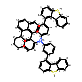 c1cc(-c2cccc3sc4ccccc4c23)cc(N(c2ccc(-c3cccc4sc5ccccc5c34)cc2)c2ccccc2-c2cccc3cccc(C4CCCCC4)c23)c1